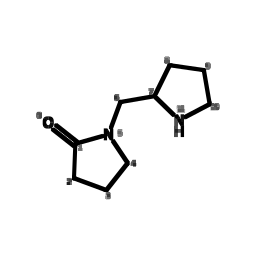 O=C1CCCN1CC1CCCN1